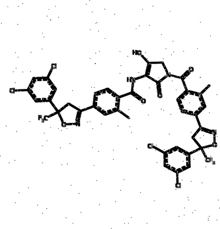 Cc1cc(C2=NOC(c3cc(Cl)cc(Cl)c3)(C(F)(F)F)C2)ccc1C(=O)NC1=C(O)CN(C(=O)c2ccc(C3=NOC(c4cc(Cl)cc(Cl)c4)(C(F)(F)F)C3)cc2C)C1=O